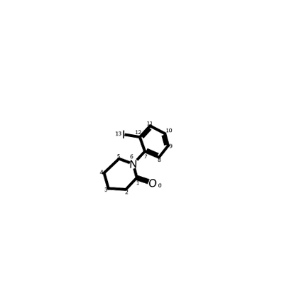 O=C1CCCCN1c1ccccc1I